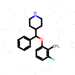 Cc1c(F)cccc1OC(c1ccccc1)C1CCNCC1